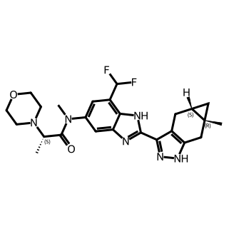 C[C@@H](C(=O)N(C)c1cc(C(F)F)c2[nH]c(-c3n[nH]c4c3C[C@@H]3C[C@]3(C)C4)nc2c1)N1CCOCC1